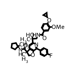 COc1cc(C(=O)NC[C@](C)(O)c2cc3c(c(-c4ccc(F)cc4)n2)OC[C@]3(C)C(=O)NC2(C)CCCC2)ccc1OC1CC1